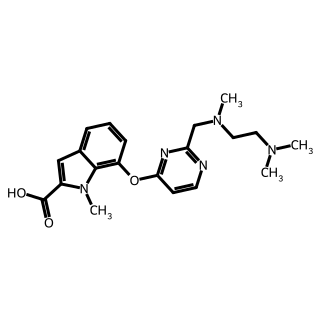 CN(C)CCN(C)Cc1nccc(Oc2cccc3cc(C(=O)O)n(C)c23)n1